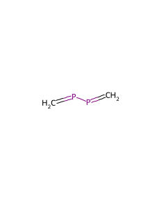 C=PP=C